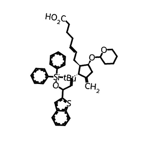 C=C1C[C@H](OC2CCCCO2)[C@H](CC=CCCCC(=O)O)[C@H]1C=CC(O[Si](c1ccccc1)(c1ccccc1)C(C)(C)C)c1cc2ccccc2s1